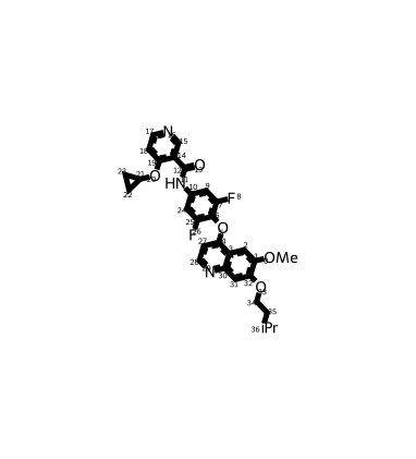 COc1cc2c(Oc3c(F)cc(NC(=O)c4cnccc4OC4CC4)cc3F)ccnc2cc1OCCC(C)C